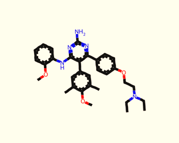 CCN(CC)CCOc1ccc(-c2nc(N)nc(Nc3ccccc3OC)c2-c2cc(C)c(OC)c(C)c2)cc1